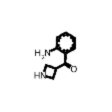 Nc1ccccc1C(=O)C1CNC1